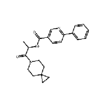 CC(NC(=O)c1ccc(-c2ccccc2)nc1)C(=O)N1CCC2(CC1)CC2